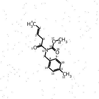 CC=CCC(=O)N(Cc1ccc(C)cc1)C(=O)OC